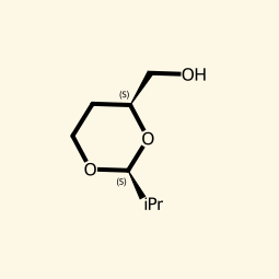 CC(C)[C@H]1OCC[C@@H](CO)O1